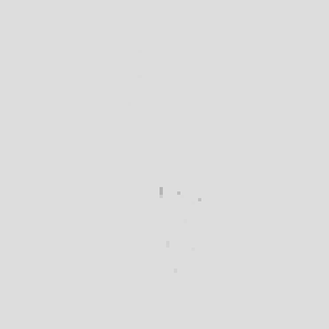 O=C(NCC1CCC(Oc2ccc(Cl)cc2)CC1)c1ccc(O)c(F)c1